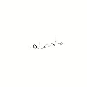 O=C(CN1CC2C(CNCc3cccc(OC(F)(F)F)c3)C2C1)NC1CCC1